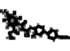 CC(=O)Nc1ccc(-c2ccc(C[C@@H](C#N)NC(=O)[C@@H]3[C@@H]4C[C@@H]([C@H]5[C@@H](C)[C@@H]45)N3C(=O)OC(C)(C)C)c(F)c2)cc1